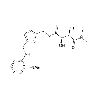 CNc1ccccc1NCc1ccc(CNC(=O)[C@H](O)[C@@H](O)C(=O)N(C)C)s1